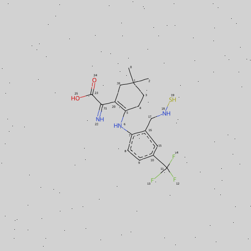 CC1(C)CCC(Nc2ccc(C(F)(F)F)cc2CNS)=C(C(=N)C(=O)O)C1